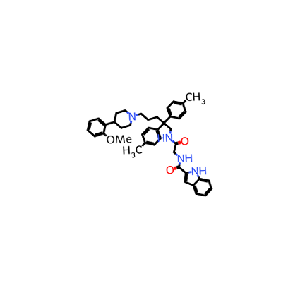 COc1ccccc1C1CCN(CCCC(CNC(=O)CNC(=O)c2cc3ccccc3[nH]2)(c2ccc(C)cc2)c2ccc(C)cc2)CC1